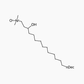 CCCCCCCCCCCCCCCCCCCCCC(O)CC[N+](C)(C)[O-]